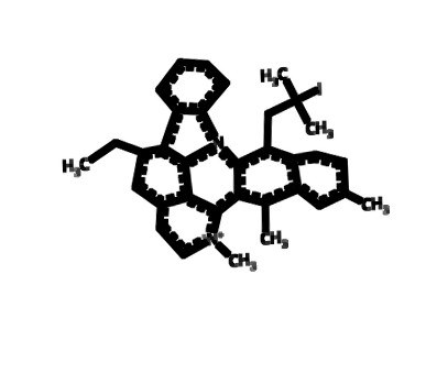 CCc1cc2cc[n+](C)c3c4c(C)c5cc(C)ccc5c(CC(C)(C)I)c4n4c5ccccc5c1c4c23